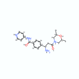 CC1CN(C(=O)CC(N)c2ccc(C(=O)Nc3ccncc3)cc2)CC(C)O1